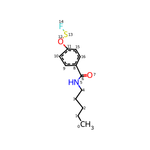 CCCCCNC(=O)c1ccc(OSF)cc1